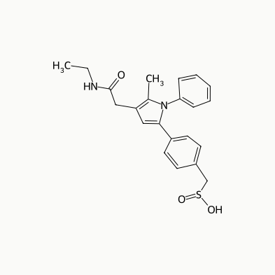 CCNC(=O)Cc1cc(-c2ccc(CS(=O)O)cc2)n(-c2ccccc2)c1C